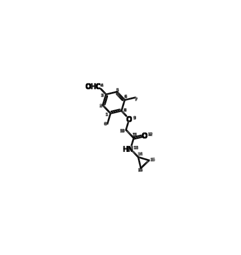 Cc1cc(C=O)cc(C)c1OCC(=O)NC1CC1